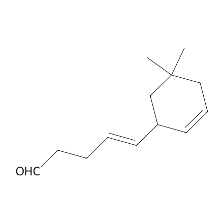 CC1(C)CC=CC(C=CCCC=O)C1